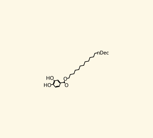 CCCCCCCCCCCCCCCCCCCCCCOC(=O)c1ccc(O)c(O)c1